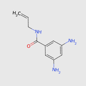 C=CCNC(=O)c1cc(N)cc(N)c1